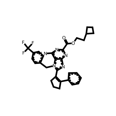 Nc1nc(C(=O)OCCC2CCC2)nc2nc(C3=C(c4ccccc4)CCC3)n(Cc3ccc(C(F)(F)F)cc3)c12